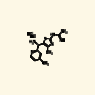 Cc1ccnc(C(N)c2sc(NC(=N)N)nc2C)c1.Cl.Cl